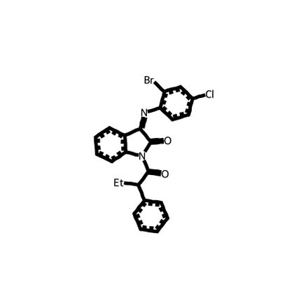 CCC(C(=O)N1C(=O)C(=Nc2ccc(Cl)cc2Br)c2ccccc21)c1ccccc1